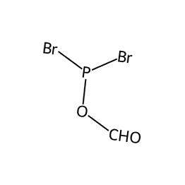 O=COP(Br)Br